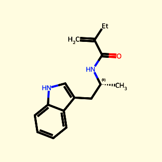 C=C(CC)C(=O)N[C@H](C)Cc1c[nH]c2ccccc12